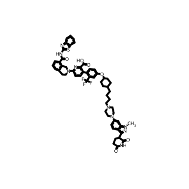 Cn1nc(C2CCC(=O)NC2=O)c2ccc(N3CCN(CCCCC4CCC(Oc5ccc(-c6ccc(N7CCc8cccc(C(=O)Nc9nc%10ccccc%10s9)c8C7)nc6C(=O)O)c(C(F)(F)F)c5)CC4)CC3)cc21